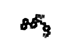 O=C(O)c1cc2c(-c3cccc4ncccc34)nccc2n1CCOc1ccc(OC(F)(F)F)cc1